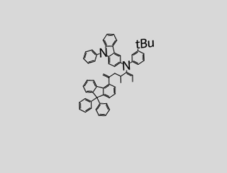 C=C(CC(C)/C(=C\C)N(c1cccc(C(C)(C)C)c1)c1ccc2c(c1)c1ccccc1n2-c1ccccc1)c1cccc2c1-c1ccccc1C2(c1ccccc1)c1ccccc1